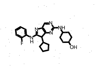 OC1CCC(Nc2ncc3c(n2)C(C2CCCC2)C(Nc2ccccc2F)=N3)CC1